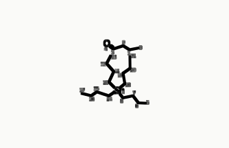 CCCC=O.CCC[CH2][Sn]([CH2]CCC)([CH2]CCC)[CH2]CCC